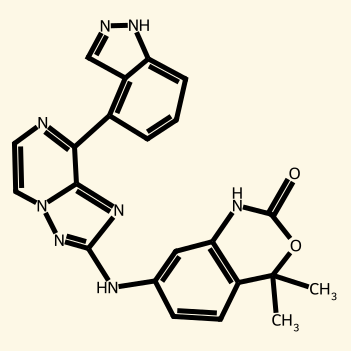 CC1(C)OC(=O)Nc2cc(Nc3nc4c(-c5cccc6[nH]ncc56)nccn4n3)ccc21